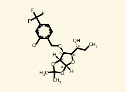 CC[C@@H](O)[C@H]1O[C@@H]2OC(C)(C)O[C@@H]2[C@H]1OCc1ccc(C(F)(F)F)cc1Cl